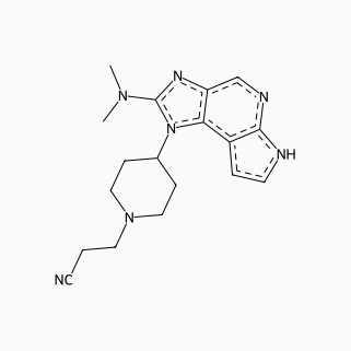 CN(C)c1nc2cnc3[nH]ccc3c2n1C1CCN(CCC#N)CC1